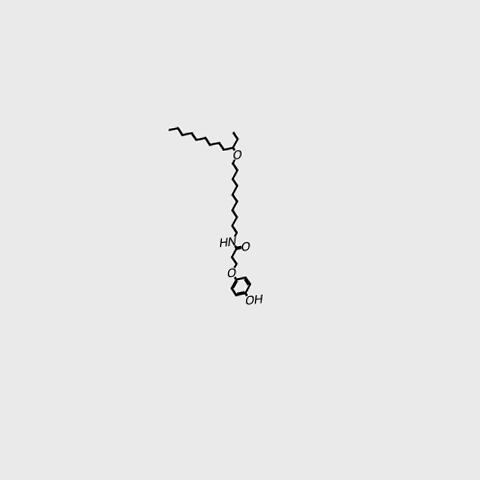 CCCCCCCCCC(CC)OCCCCCCCCCCNC(=O)CCOc1ccc(O)cc1